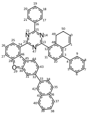 C1=Cc2c(-c3ccccc3)ccc(-c3nc(-c4ccccc4)nc(-c4cccc5oc6cc(-c7ccc8ccccc8c7)ccc6c45)n3)c2CC1